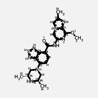 COc1nc(NC(=O)c2ccc(N3C[C@@H](C)N[C@H](C)C3)c3nsnc23)cn2cc(C)nc12